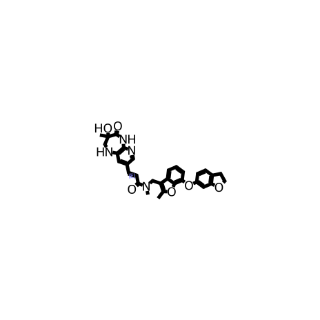 Cc1oc2c(Oc3ccc4c(c3)OCC4)cccc2c1CN(C)C(=O)/C=C/c1cnc2c(c1)NCC(C)(O)C(=O)N2